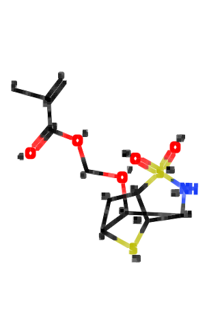 C=C(C)C(=O)OCOC1C2CC3C(S2)C1NS3(=O)=O